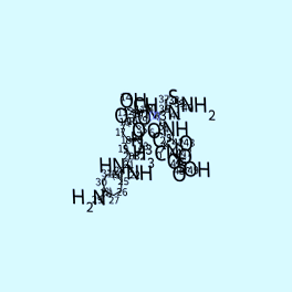 CC1(C)[C@H](NC(=O)/C(=N\O[C@](C)(C(=O)O)[C@H]2CCc3cc(C(=N)N[C@H]4CCC[C@H](N)CC4)ccc3O2)c2csc(N)n2)C(=O)N1OS(=O)(=O)O